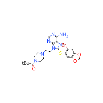 CC(C)(C)C(=O)N1CCN(CCn2c(Sc3cc4c(cc3Br)OCO4)nc3c(N)ncnc32)CC1